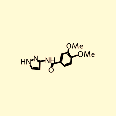 COc1ccc(C(=O)Nc2cc[nH]n2)cc1OC